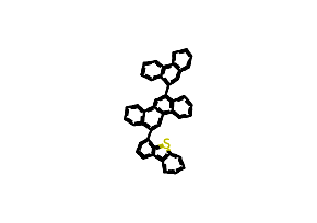 c1ccc2c(c1)cc(-c1cc3c4ccccc4c(-c4cccc5c4sc4ccccc45)cc3c3ccccc13)c1ccccc12